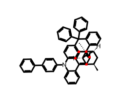 C[C@H]1C[C@@H]2C[C@@H](C)C[C@H](C1)C21c2ccccc2C(c2ccccc2)(c2ccccc2)c2ccc(N(c3ccc(-c4ccccc4)cc3)c3ccccc3-c3ccccc3)cc21